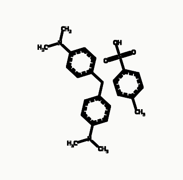 CN(C)c1ccc(Cc2ccc(N(C)C)cc2)cc1.Cc1ccc(S(=O)(=O)O)cc1